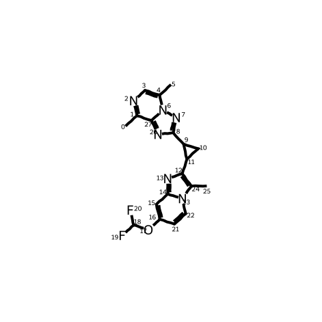 Cc1ncc(C)n2nc(C3CC3c3nc4cc(OC(F)F)ccn4c3C)nc12